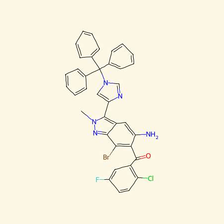 Cn1nc2c(Br)c(C(=O)c3cc(F)ccc3Cl)c(N)cc2c1-c1cn(C(c2ccccc2)(c2ccccc2)c2ccccc2)cn1